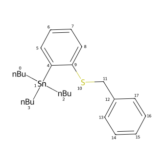 CCC[CH2][Sn]([CH2]CCC)([CH2]CCC)[c]1ccccc1SCc1ccccc1